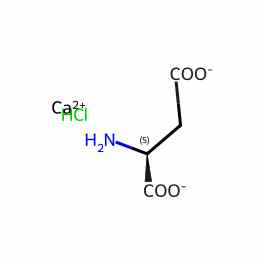 Cl.N[C@@H](CC(=O)[O-])C(=O)[O-].[Ca+2]